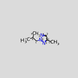 Cc1cnn(CC(C)C)n1